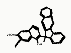 Cc1cc2c(O)c(C3(C)c4ccccc4-c4cc5ccccc5cc43)ccc2cc1O